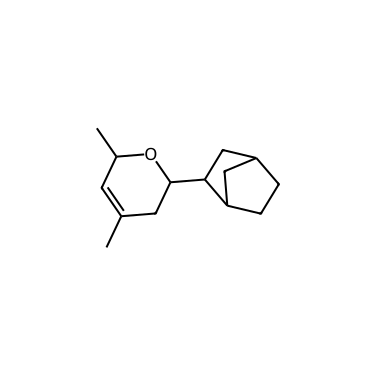 CC1=CC(C)OC(C2CC3CCC2C3)C1